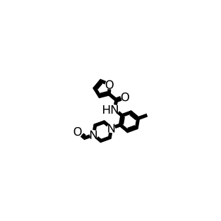 Cc1ccc(N2CCN(C=O)CC2)c(NC(=O)c2ccco2)c1